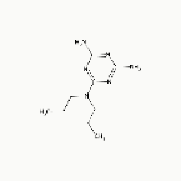 CCCN(CCC)c1nc(N)nc(N)n1